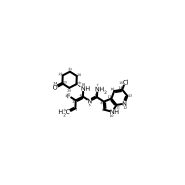 C=C/C(F)=C(\N=C(/N)c1c[nH]c2ncc(Cl)cc12)N[C@H]1CCCC(=O)C1